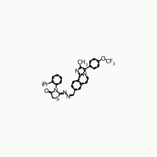 Cc1nc2c3ccc(/C=N\N=C4/SCC(=O)N4c4ccccc4C(C)C)cc3ccn2c1-c1ccc(OC(F)(F)F)cc1